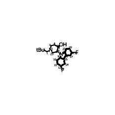 CC(C)(C)CN1CC[C@@H](O)[C@H](n2c3ccc(F)cc3c3cc(F)ccc32)C1